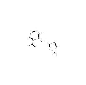 C=C(C)c1cccc(Br)c1COc1ccn(O)n1